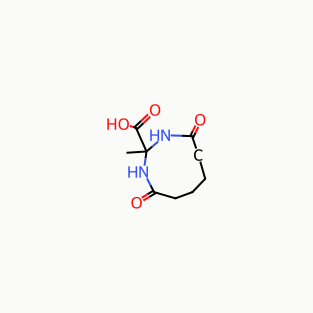 CC1(C(=O)O)NC(=O)CCCCC(=O)N1